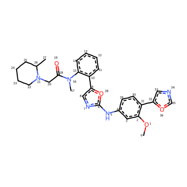 COc1cc(Nc2ncc(-c3ccccc3N(C)C(=O)CN3CCCCC3C)o2)ccc1-c1cnco1